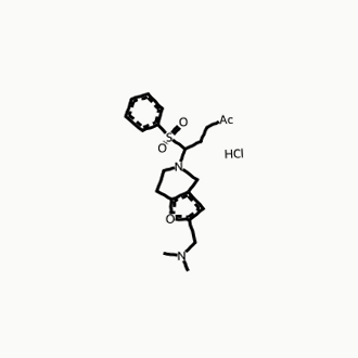 CC(=O)CCC(N1CCc2oc(CN(C)C)cc2C1)S(=O)(=O)c1ccccc1.Cl